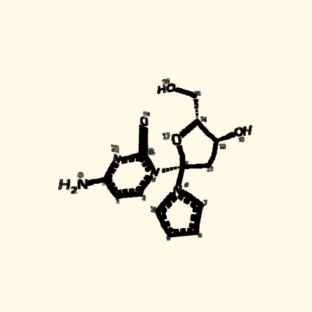 Nc1ccn([C@@]2(n3cccc3)C[C@H](O)[C@@H](CO)O2)c(=O)n1